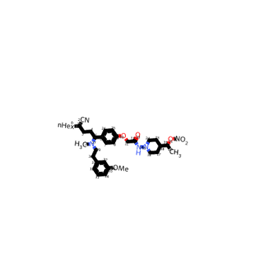 CCCCCCC(C#N)CCC(c1ccc(OCC(=O)NN2CCC(C(C)O[N+](=O)[O-])CC2)cc1)N(C)CCc1cccc(OC)c1